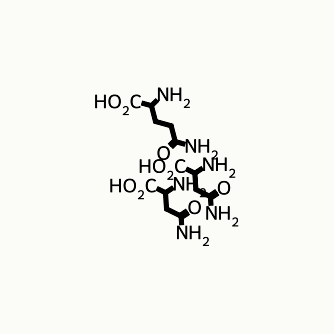 NC(=O)CC(N)C(=O)O.NC(=O)CC(N)C(=O)O.NC(=O)CCC(N)C(=O)O